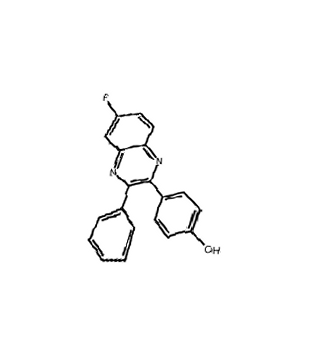 Oc1ccc(-c2nc3ccc(F)cc3nc2-c2ccccc2)cc1